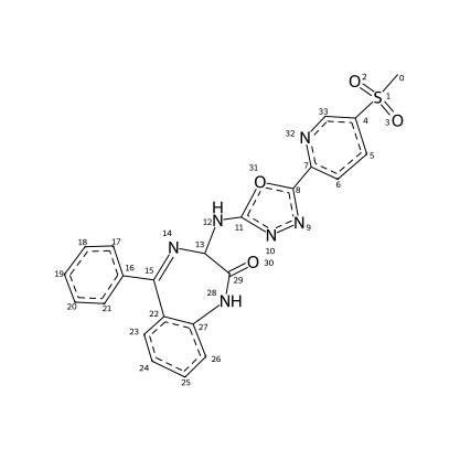 CS(=O)(=O)c1ccc(-c2nnc(NC3N=C(c4ccccc4)c4ccccc4NC3=O)o2)nc1